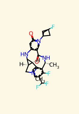 C[C@@H](NC(=O)c1cn(C23CC(F)(C2)C3)c(=O)cc1NC1[C@H]2CN(C)C[C@@H]12)c1cccc(C(F)F)c1F